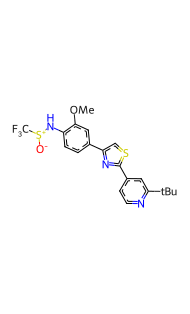 COc1cc(-c2csc(-c3ccnc(C(C)(C)C)c3)n2)ccc1N[S+]([O-])C(F)(F)F